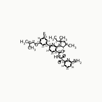 CC[C@]1(C)C[C@H](C)CN1c1nc(-c2cc(F)cc(OCC(C)C)c2)ccc1C(=O)NS(=O)(=O)c1cccc(N)n1